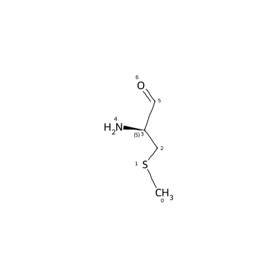 CSC[C@@H](N)C=O